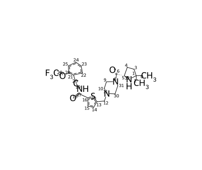 CC1(C)CC[C@@H](C(=O)N2CCN(Cc3ccc(C(=O)NCc4ccccc4OC(F)(F)F)s3)CC2)N1